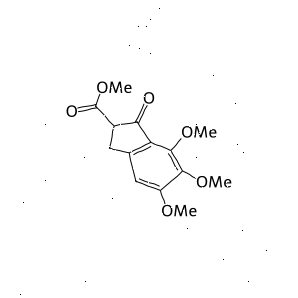 COC(=O)C1Cc2cc(OC)c(OC)c(OC)c2C1=O